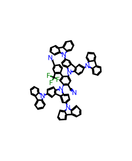 N#Cc1ccc(-c2cc(-n3c4ccc(-n5c6ccccc6c6ccccc65)cc4c4cc(-n5c6ccccc6c6ccccc65)ccc43)c(C#N)cc2-n2c3ccc(-n4c5ccccc5c5ccccc54)cc3c3cc(-n4c5ccccc5c5ccccc54)ccc32)c(C(F)(F)F)c1